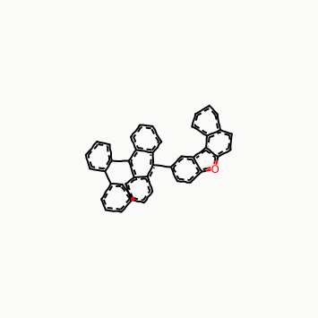 c1ccc(-c2ccccc2-c2c3ccccc3c(-c3ccc4oc5ccc6ccccc6c5c4c3)c3ccccc23)cc1